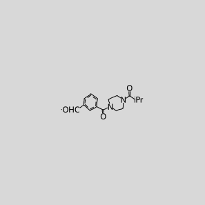 CC(C)C(=O)N1CCN(C(=O)c2cccc([C]=O)c2)CC1